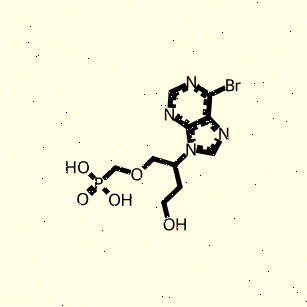 O=P(O)(O)COCC(CCO)n1cnc2c(Br)ncnc21